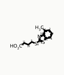 Cc1cccc2sc(SCCCC(=O)O)nc12